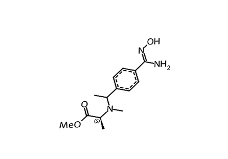 COC(=O)[C@H](C)N(C)C(C)c1ccc(C(N)=NO)cc1